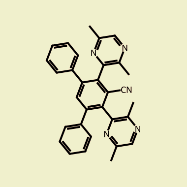 Cc1cnc(C)c(-c2c(-c3ccccc3)cc(-c3ccccc3)c(-c3nc(C)cnc3C)c2C#N)n1